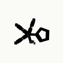 [CH3][Pt](=[C]=O)(=[C]=O)(=[C]=O)[C]1=CC=CC1